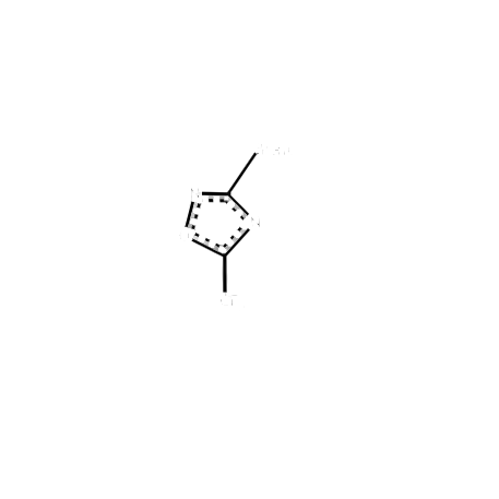 CCCC(C)c1noc(C(F)(F)F)n1